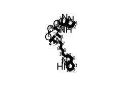 COC(C)(C)CN(CCCCc1ccc2c(n1)NCCC2)CC[C@H](Nc1ncnc2ncccc12)C(=O)O